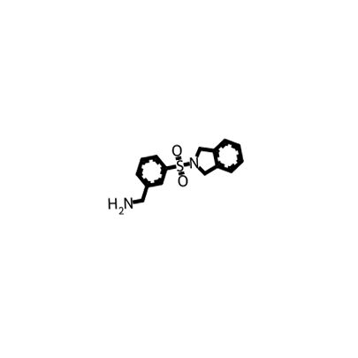 NCc1cccc(S(=O)(=O)N2Cc3ccccc3C2)c1